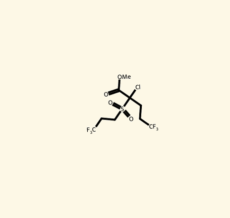 COC(=O)C(Cl)(CCC(F)(F)F)S(=O)(=O)CCC(F)(F)F